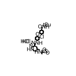 CC(C)(C)NC(=O)c1cccc(Oc2ccc(Nc3ncnc4c3C=C(CNC(C)(C)CS(C)(=O)=O)CCN4)cc2Cl)c1.Cl.Cl